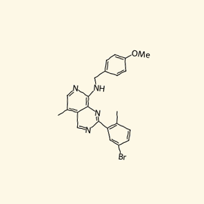 COc1ccc(CNc2ncc(C)c3cnc(-c4cc(Br)ccc4C)nc23)cc1